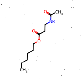 CCCCCCOC(=O)CCNC(C)=O